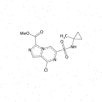 COC(=O)c1ncc2c(Cl)nc(S(=O)(=O)NC3(C)CC3)cn12